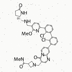 CNC(=O)C1CN(Cc2cnc3cc(-c4cccc(-c5cccc(-c6ccc(CNC[C@@H]7CCC(=O)N7)c(OC)n6)c5Cl)c4Cl)ccn3c2=O)C1